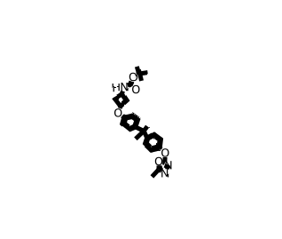 Cc1nnc(Oc2ccc(C(C)(C)c3ccc(OC4CC(NC(=O)OC(C)(C)C)C4)cc3)cc2)o1